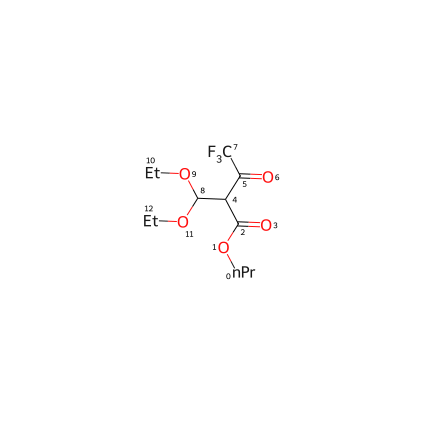 CCCOC(=O)C(C(=O)C(F)(F)F)C(OCC)OCC